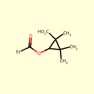 CCC(=O)OC1C(C)(C)C1(C)C(=O)O